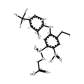 CCc1cc([N+](=O)[O-])c([PH](=O)OCC(=O)O)cc1Oc1ncc(C(F)(F)F)cc1Cl